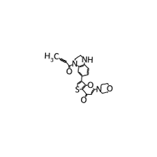 CC#CC(=O)N1CCNc2ccc(-c3csc4c(=O)cc(N5CCOCC5)oc34)cc21